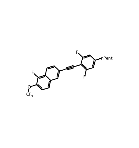 CCCCCc1cc(F)c(C#Cc2ccc3c(F)c(OC(F)(F)F)ccc3c2)c(F)c1